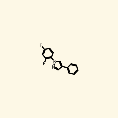 Fc1ccc(-n2cc(-c3ccccc3)cn2)c(F)c1